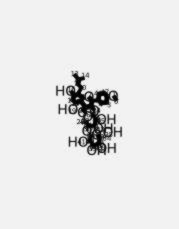 COc1ccc(-c2oc3c(CC=C(C)C)c(O)cc(O)c3c(=O)c2O[C@@H]2O[C@@H](C)[C@H](O[C@@H]3O[C@H](CO)[C@@H](O)[C@H](O)[C@H]3O)[C@@H](O)[C@H]2O)cc1